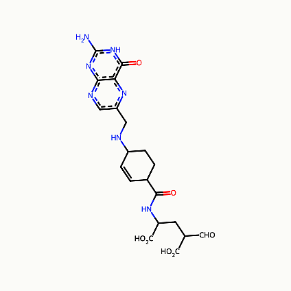 Nc1nc2ncc(CNC3C=CC(C(=O)NC(CC(C=O)C(=O)O)C(=O)O)CC3)nc2c(=O)[nH]1